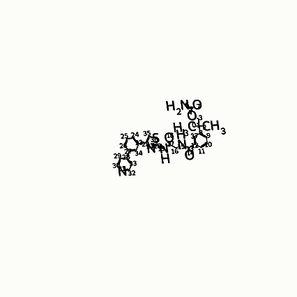 CC(C)(COC(N)=O)c1cccc(C(=O)NCC(=O)Nc2nc(-c3cccc(-c4ccncc4)c3)cs2)c1